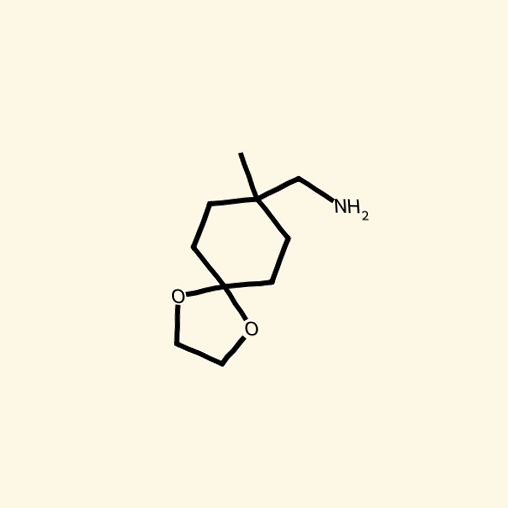 CC1(CN)CCC2(CC1)OCCO2